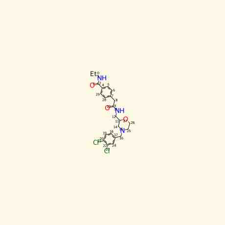 CCNC(=O)c1ccc(CC(=O)NCC2CN(Cc3ccc(Cl)c(Cl)c3)CCO2)cc1